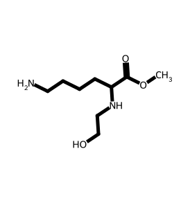 COC(=O)C(CCCCN)NCCO